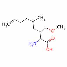 C=CCCC(C)CC(COC)C(N)C(=O)O